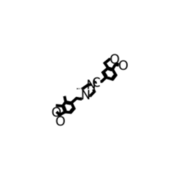 Cc1c(CCN2CCN(CCc3ccc4c(c3)CCOC4=O)C[C@H]2C)ccc2c1COC2=O